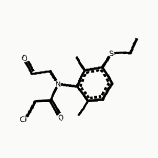 CCSc1ccc(C)c(N(CC=O)C(=O)CCl)c1C